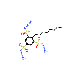 CCCCCCCCc1c(S(=O)(=O)N=[N+]=[N-])cc(S(=O)(=O)N=[N+]=[N-])cc1S(=O)(=O)N=[N+]=[N-]